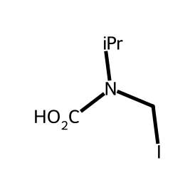 CC(C)N(CI)C(=O)O